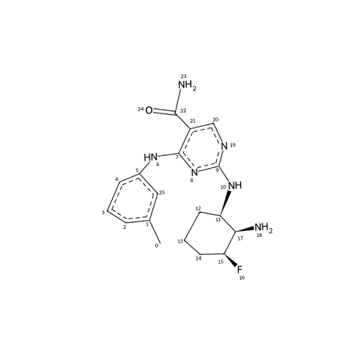 Cc1cccc(Nc2nc(N[C@@H]3CCC[C@H](F)[C@@H]3N)ncc2C(N)=O)c1